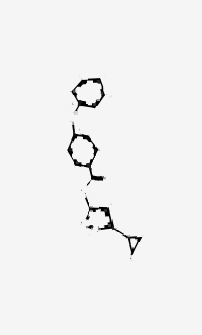 O=C(Nc1cc(C2CC2)[nH]n1)c1ccc(Oc2ccccc2)cc1